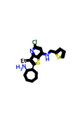 CCc1c([C@H]2CCCCC[C@@H]2N)sc2c(NCc3cccs3)cc(Cl)nc12